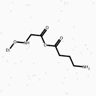 CCONCC(=O)OC(=O)CCCN